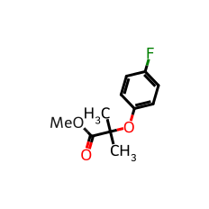 COC(=O)C(C)(C)Oc1ccc(F)cc1